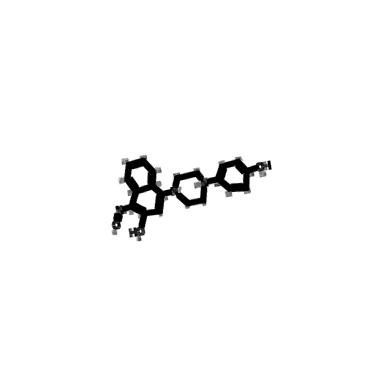 O=Nc1c(O)cc(N2CCN(c3ccc(O)cc3)CC2)c2ccccc12